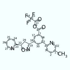 Cc1ccc(-c2cc(C(=O)OC(=O)C(F)(F)F)cc(C3=NO[C@@H](c4ccccn4)C3)c2)nc1